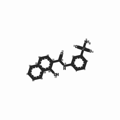 NS(=O)(=O)c1cccc(NC(=O)c2ccc3ccccc3c2O)c1